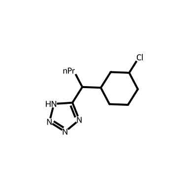 CCCC(c1nnn[nH]1)C1CCCC(Cl)C1